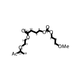 COCCCOC(=O)OCCCC(=O)OCCOC(C)C(C)=O